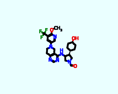 COc1ncc(N2CCc3ncnc(NC4CN(C=O)CC4[C@H]4CC[C@H](O)CC4)c3C2)cc1C(F)(F)F